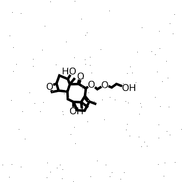 CC1=C2C(OCOCCO)C(=O)C3(C)C(O)CC4OCC4C3CC(O)(CC1)C2(C)C